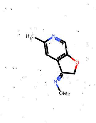 CON=C1COc2cnc(C)cc21